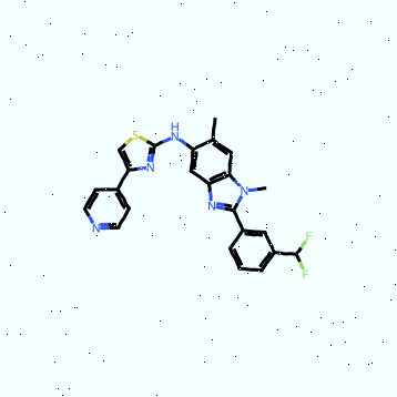 Cc1cc2c(cc1Nc1nc(-c3ccncc3)cs1)nc(-c1cccc(C(F)F)c1)n2C